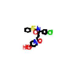 O=C(CCc1oc(SC2CCCCC2)nc1-c1ccc(Cl)cc1)N1CCC(O)CC1